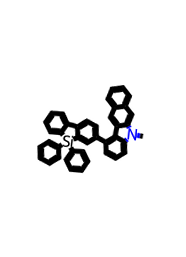 Cn1c2cc3ccccc3cc2c2c(-c3ccc4c(c3)[Si](c3ccccc3)(c3ccccc3)c3ccccc3-4)cccc21